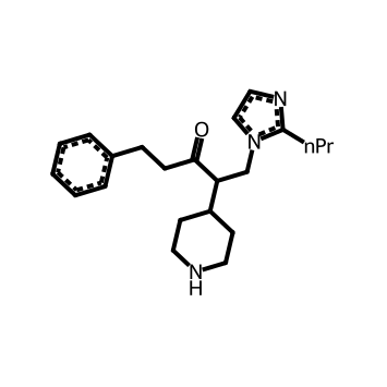 CCCc1nccn1CC(C(=O)CCc1ccccc1)C1CCNCC1